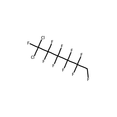 FCC(F)(F)C(F)(F)C(F)(F)C(F)(F)C(F)(Cl)Cl